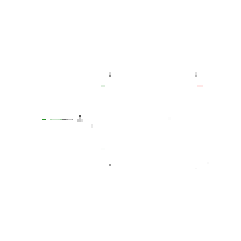 CC(=O)O.[F][Ag]([F])[F]